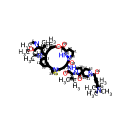 C=C/C(=C(\N=C/C)[C@H](C)OC)c1c2c3cc(ccc3n1CC)-c1csc(n1)C[C@H](NC(=O)[C@H](C(C)C)N1CCC3(CCN(C(=O)C#CC(C)(C)N(C)C)CC3)C1=O)C(=O)N1CCC[C@H](N1)C(=O)OCC(C)(C)C2